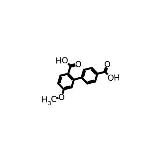 COc1ccc(C(=O)O)c(-c2ccc(C(=O)O)cc2)c1